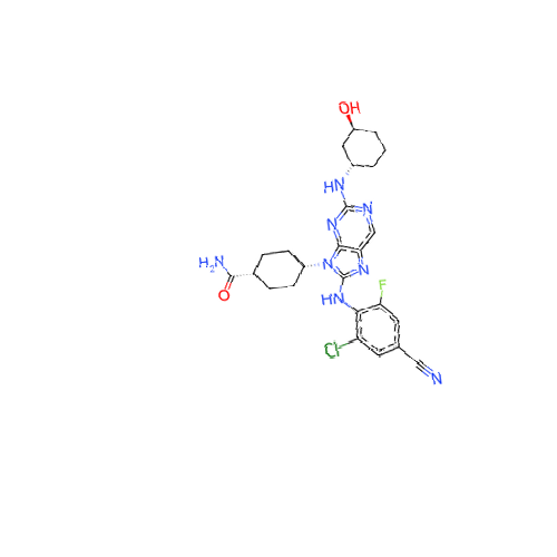 N#Cc1cc(F)c(Nc2nc3cnc(N[C@H]4CCC[C@H](O)C4)nc3n2[C@H]2CC[C@@H](C(N)=O)CC2)c(Cl)c1